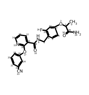 CC(Oc1ccc(CNC(=O)c2cccnc2Oc2cccc(C#N)c2)c(F)c1)C(N)=O